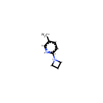 Cc1ccc(N2CCC2)nc1